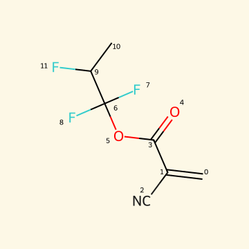 C=C(C#N)C(=O)OC(F)(F)C(C)F